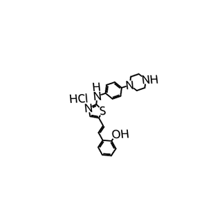 Cl.Oc1ccccc1C=Cc1cnc(Nc2ccc(N3CCNCC3)cc2)s1